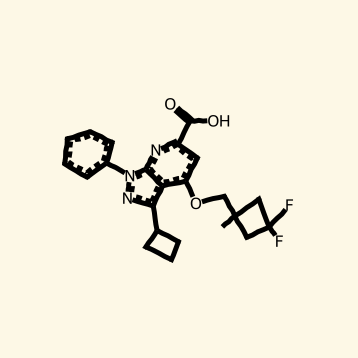 CC1(COc2cc(C(=O)O)nc3c2c(C2CCC2)nn3-c2ccccc2)CC(F)(F)C1